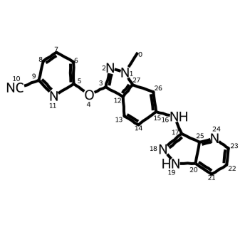 Cn1nc(Oc2cccc(C#N)n2)c2ccc(Nc3n[nH]c4cccnc34)cc21